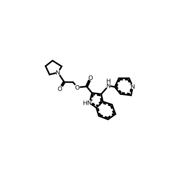 O=C(OCC(=O)N1CCCC1)c1[nH]c2ccccc2c1Nc1ccncc1